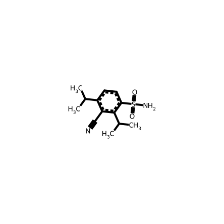 CC(C)c1ccc(S(N)(=O)=O)c(C(C)C)c1C#N